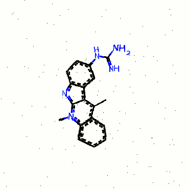 Cc1c2c3cc(NC(=N)N)ccc3nc-2n(C)c2ccccc12